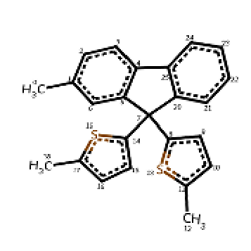 Cc1ccc2c(c1)C(c1ccc(C)s1)(c1ccc(C)s1)c1ccccc1-2